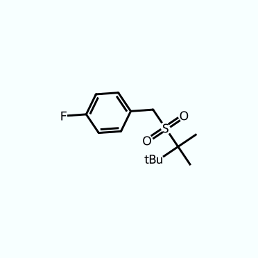 CC(C)(C)C(C)(C)S(=O)(=O)Cc1ccc(F)cc1